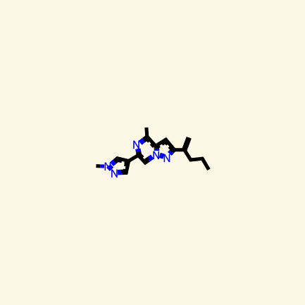 C=C(CCC)c1cc2c(C)nc(-c3cnn(C)c3)cn2n1